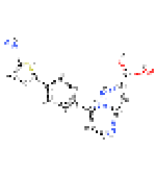 Nc1ccc(-c2ccc(-c3ccnc4cc(C(=O)O)nn34)cc2)s1